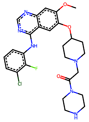 COc1cc2ncnc(Nc3cccc(Cl)c3F)c2cc1OC1CCN(CC(=O)N2CCNCC2)CC1